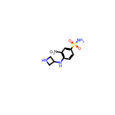 NS(=O)(=O)c1ccc(NC2CNC2)c([N+](=O)[O-])c1